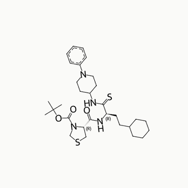 CC(C)(C)OC(=O)N1CSC[C@H]1C(=O)N[C@H](CCC1CCCCC1)C(=S)NC1CCN(c2ccccc2)CC1